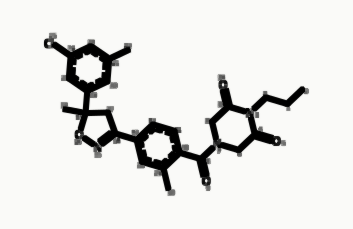 CCCN1C(=O)CN(C(=O)c2ccc(C3=NOC(C)(c4cc(C)cc(Cl)c4)C3)cc2C)CC1=O